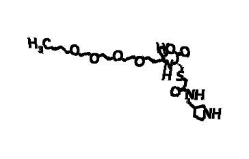 CCCCOCCOCCOCCOCCC(=O)N[C@@H](CSCC(=O)NCC1CCNC1)C(=O)O